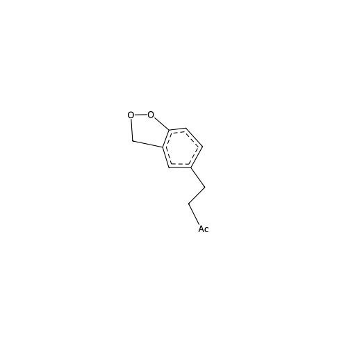 CC(=O)CCc1ccc2c(c1)COO2